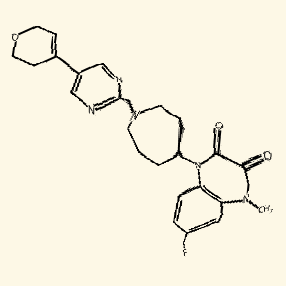 Cn1c(=O)c(=O)n(C2CCN(c3ncc(C4=CCOCC4)cn3)CC2)c2ccc(F)cc21